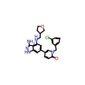 Nc1n[nH]c2cc(-c3ccc(=O)n(Cc4cccc(Cl)c4)c3)cc(NCC3CCOC3)c12